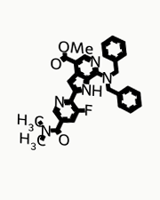 COC(=O)c1cnc(N(Cc2ccccc2)Cc2ccccc2)c2[nH]c(-c3ncc(C(=O)N(C)C)cc3F)cc12